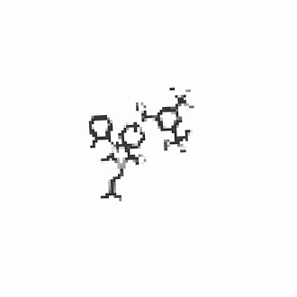 CC(C)=CCN1C(=O)C2(CCN(C(=O)c3cc(C(F)(F)F)cc(C(F)(F)F)c3)CC2)N(c2ccccc2C)C1C